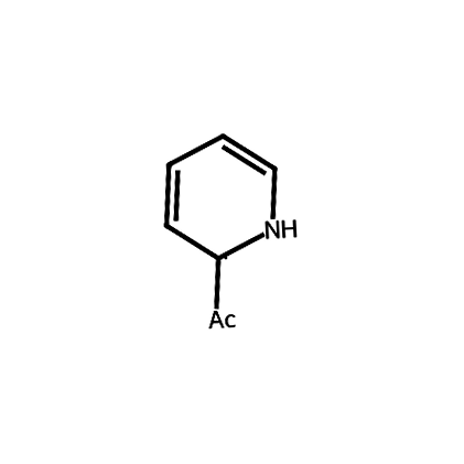 CC(=O)[C]1C=CC=CN1